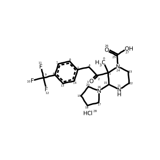 CC1(C(=O)Cc2ccc(C(F)(F)F)cc2)C(N2CCCC2)NCCN1C(=O)O.Cl